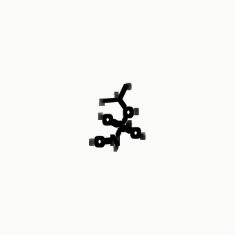 CC(C)OS(=O)(=O)N=O